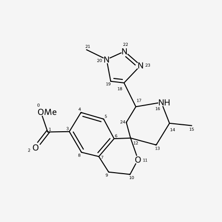 COC(=O)c1ccc2c(c1)CCOC21CC(C)NC(c2cn(C)nn2)C1